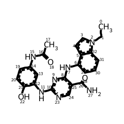 CCn1ccc2c(Nc3nc(Nc4cc(NC(C)=O)ccc4O)ncc3C(N)=O)cccc21